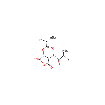 CCCCC(CC)C(=O)OC1C(=O)OC(=O)C1OC(=O)C(CC)CCCC